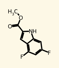 COC(=O)c1cc2c(F)cc(F)cc2[nH]1